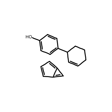 Oc1ccc(C2C=CCCC2)cc1.c1cc2cc-2c1